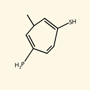 CC1C=C(P)C=CC(S)=C1